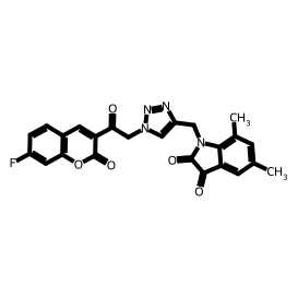 Cc1cc(C)c2c(c1)C(=O)C(=O)N2Cc1cn(CC(=O)c2cc3ccc(F)cc3oc2=O)nn1